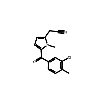 Cc1ccc(C(=O)c2ccc(CC#N)n2C)cc1Cl